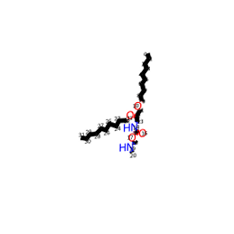 CCCCCCCCCCOCC(CNC(=O)OCNC)OCCCCCCCCCC